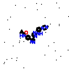 CN1CCN(c2cccc(Nc3nccc(-c4cnn(C)c4-c4ccc(NC(=O)C5CC5)cc4)n3)c2)CC1